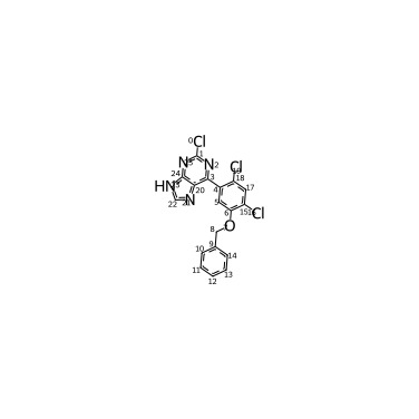 Clc1nc(-c2cc(OCc3ccccc3)c(Cl)cc2Cl)c2nc[nH]c2n1